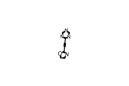 C(#Cc1ncco1)c1ncncn1